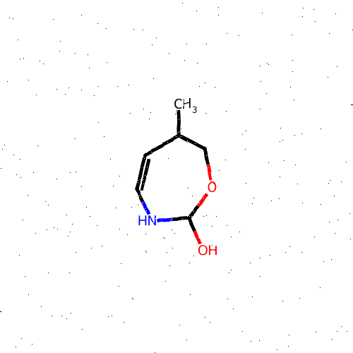 CC1C=CNC(O)OC1